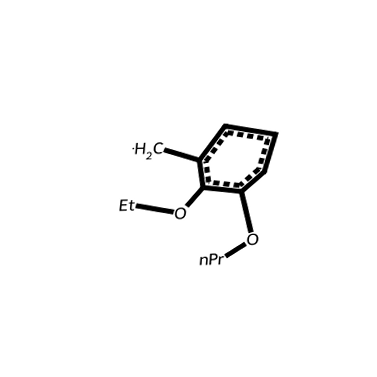 [CH2]c1cccc(OCCC)c1OCC